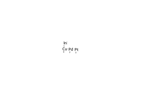 [Cu].[In].[Pd].[Pt]